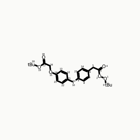 CC(C)(C)OOC(=O)Cc1ccc([I+]c2ccc(OCC(=O)OC(C)(C)C)cc2)cc1